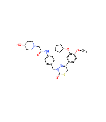 COc1ccc(C2=NN(Cc3ccc(NC(=O)CN4CCC(O)CC4)cc3)C(=O)SC2)cc1OC1CCCC1